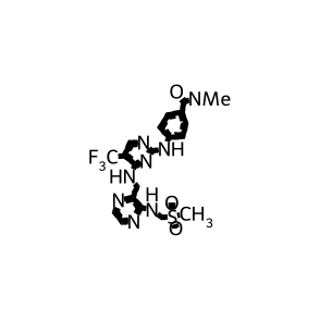 CNC(=O)c1ccc(Nc2ncc(C(F)(F)F)c(NCc3nccnc3NCS(C)(=O)=O)n2)cc1